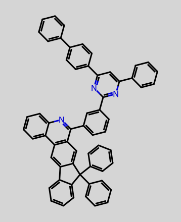 c1ccc(-c2ccc(-c3cc(-c4ccccc4)nc(-c4cccc(-c5nc6ccccc6c6cc7c(cc56)C(c5ccccc5)(c5ccccc5)c5ccccc5-7)c4)n3)cc2)cc1